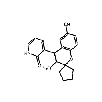 N#Cc1ccc2c(c1)C(c1ccc[nH]c1=O)C(O)C1(CCCC1)O2